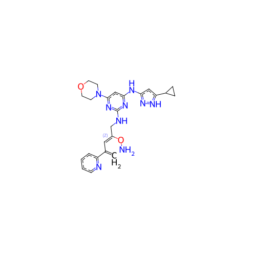 C=C(/C=C(/CNc1nc(Nc2cc(C3CC3)[nH]n2)cc(N2CCOCC2)n1)ON)c1ccccn1